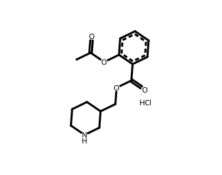 CC(=O)Oc1ccccc1C(=O)OCC1CCCNC1.Cl